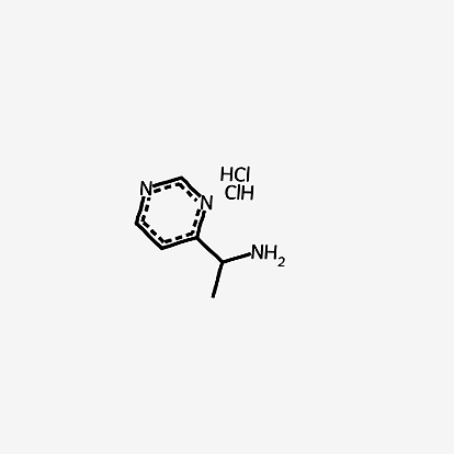 CC(N)c1ccncn1.Cl.Cl